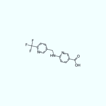 O=C(O)c1ccc(NCc2ccc(C(F)(F)F)nc2)nc1